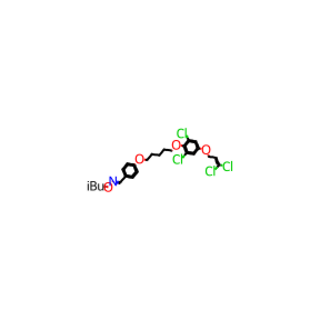 CCC(C)ON=Cc1ccc(OCCCCCOc2c(Cl)cc(OCC=C(Cl)Cl)cc2Cl)cc1